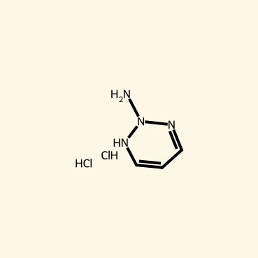 Cl.Cl.NN1N=CC=CN1